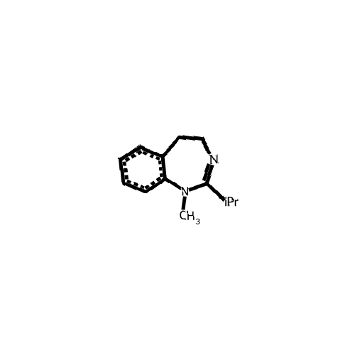 CC(C)C1=NCCc2ccccc2N1C